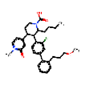 CCCCC1C(c2ccc(-c3ccccc3CCCOC)cc2Cl)C(c2ccn(C)c(=O)c2)CCN1C(=O)O